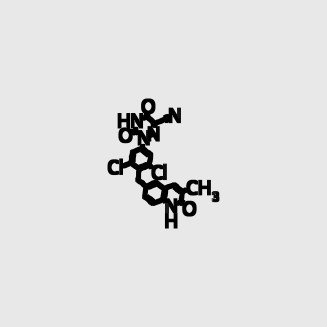 Cc1cc2cc(Cc3c(Cl)cc(-n4nc(C#N)c(=O)[nH]c4=O)cc3Cl)ccc2[nH]c1=O